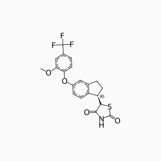 COc1cc(C(F)(F)F)ccc1Oc1ccc2c(c1)CC[C@H]2C1SC(=O)NC1=O